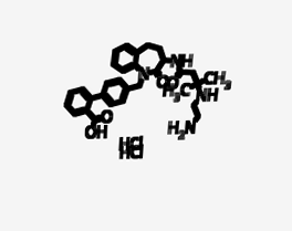 CC(C)(CC(=O)NC1CCc2ccccc2N(Cc2ccc(-c3ccccc3C(=O)O)cc2)C1=O)NCCN.Cl.Cl